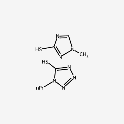 CCCn1nnnc1S.Cn1cnc(S)n1